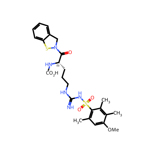 COc1cc(C)c(S(=O)(=O)NC(=N)NCCC[C@H](NC(=O)O)C(=O)N2Cc3ccccc3S2)c(C)c1C